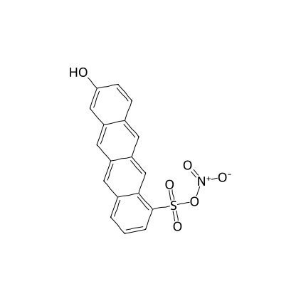 O=[N+]([O-])OS(=O)(=O)c1cccc2cc3cc4cc(O)ccc4cc3cc12